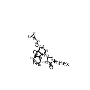 CCCCCCN1CC(c2ccc(OCC3CC3)c3oc4cnccc4c23)CC1=O